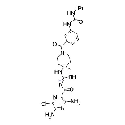 CC(C)NC(=O)Nc1cccc(C(=O)N2CCC3(CC2)CN/C(=N\C(=O)c2nc(Cl)c(N)nc2N)N3)c1